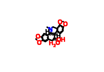 CN1Cc2c(ccc3c2OCO3)[C@@H]2[C@H]1c1cc3c(cc1C[C@@H]2O)OCO3.O